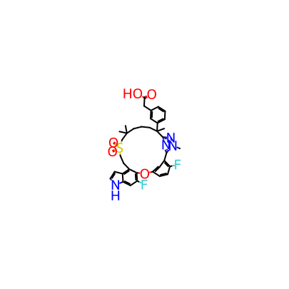 Cn1nc2nc1-c1cc(ccc1F)Oc1c(F)cc3[nH]ccc3c1CCS(=O)(=O)CC(C)(C)CCCC2(C)c1cccc(CC(=O)O)c1